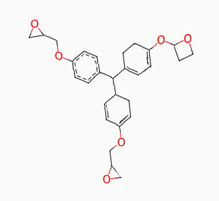 C1=CC(C(C2=CC=C(OC3CCO3)CC2)c2ccc(OCC3CO3)cc2)CC=C1OCC1CO1